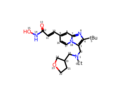 CCN(Cc1c(C(C)(C)C)nc2cc(/C=C/C(=O)NO)ccn12)CC1CCOC1